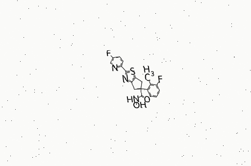 Cc1c(F)cccc1C1(C(=O)NO)Cc2nc(-c3ccc(F)cn3)sc2C1